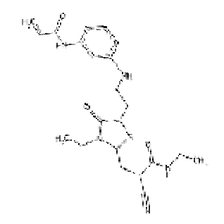 C=CC(=O)Nc1cccc(NCCC2SC(CC(C#N)C(=O)NCC)N(CC)C2=O)c1